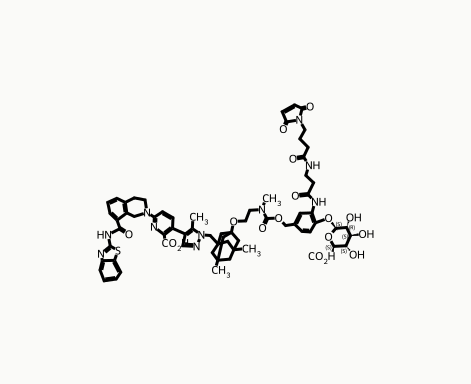 Cc1c(-c2ccc(N3CCc4cccc(C(=O)Nc5nc6ccccc6s5)c4C3)nc2C(=O)O)cnn1CC12CC3(C)CC(C)(C1)CC(OCCN(C)C(=O)OCc1ccc(O[C@@H]4O[C@H](C(=O)O)[C@@H](O)[C@H](O)[C@H]4O)c(NC(=O)CCNC(=O)CCCN4C(=O)C=CC4=O)c1)(C3)C2